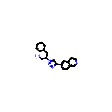 NCC(Cc1ccccc1)n1cc(-c2ccc3cnccc3c2)nn1